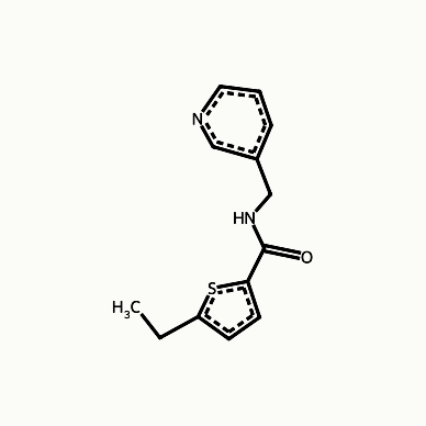 CCc1ccc(C(=O)NCc2cccnc2)s1